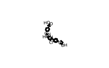 CC(C)(C(=O)O)[C@H]1CC[C@H](Oc2nc3nc(-c4ccc(N5CC[C@@H](O)C5)cc4)c(Cl)cc3[nH]2)CC1